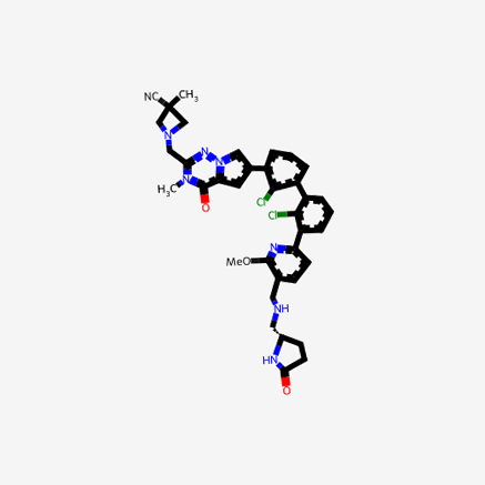 COc1nc(-c2cccc(-c3cccc(-c4cc5c(=O)n(C)c(CN6CC(C)(C#N)C6)nn5c4)c3Cl)c2Cl)ccc1CNC[C@@H]1CCC(=O)N1